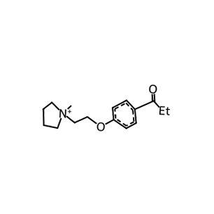 CCC(=O)c1ccc(OCC[N+]2(C)CCCC2)cc1